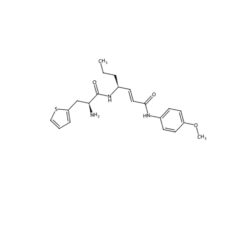 CCC[C@@H](/C=C/C(=O)Nc1ccc(OC)cc1)NC(=O)[C@@H](N)Cc1cccs1